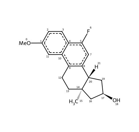 COc1ccc2c(F)cc3c(c2c1)CC[C@]1(C)C[C@H](O)C[C@@H]31